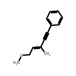 C/C(C#Cc1ccccc1)=C\CON